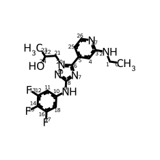 CCNc1cc(-c2nc(Nc3cc(F)c(F)c(F)c3)nn2CC(C)O)ccn1